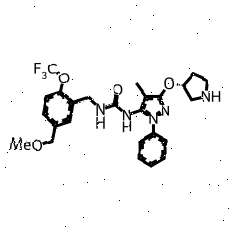 COCc1ccc(OC(F)(F)F)c(CNC(=O)Nc2c(C)c(O[C@@H]3CCNC3)nn2-c2ccccc2)c1